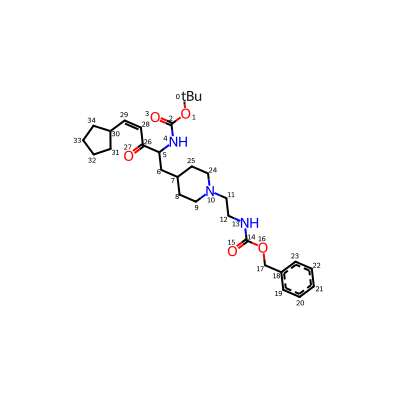 CC(C)(C)OC(=O)NC(CC1CCN(CCNC(=O)OCc2ccccc2)CC1)C(=O)/C=C\C1CCCC1